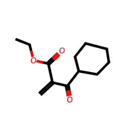 C=C(C(=O)OCC)C(=O)C1CCCCC1